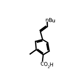 CCCCC=Cc1ccc(C(=O)O)c(C)c1